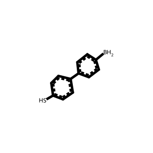 Bc1ccc(-c2ccc(S)cc2)cc1